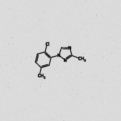 Cc1ccc(Cl)c(-n2cnc(C)n2)c1